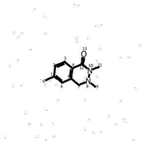 Cc1ccc2c(c1)CN(C)N(C)C2=O